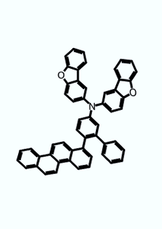 c1ccc(-c2cc(N(c3ccc4oc5ccccc5c4c3)c3ccc4oc5ccccc5c4c3)ccc2-c2cccc3c2ccc2c4ccccc4ccc32)cc1